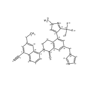 CCc1cc(C#N)c2nccc(N3CCc4c(cc(Cn5ccnc5)cc4-c4cn(C)nc4C(F)(F)F)C3=O)c2c1